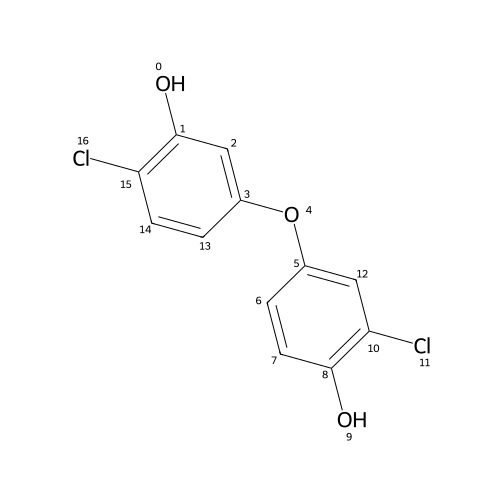 Oc1cc(Oc2ccc(O)c(Cl)c2)ccc1Cl